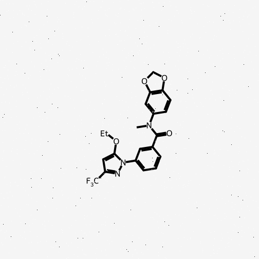 CCOc1cc(C(F)(F)F)nn1-c1cccc(C(=O)N(C)c2ccc3c(c2)OCO3)c1